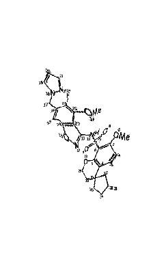 COc1ccc2c(c1S(=O)(=O)Nc1noc3cc(Cn4cccn4)c(F)c(OC)c13)OCCC21CCCC1